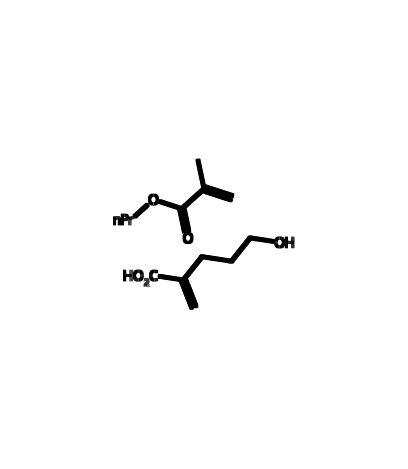 C=C(C)C(=O)OCCC.C=C(CCCO)C(=O)O